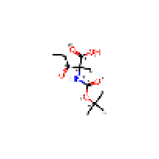 CCC(=O)C(C)(NC(=O)OC(C)(C)C)C(=O)O